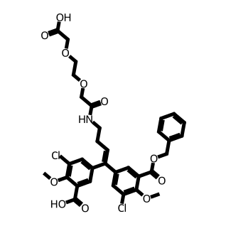 COc1c(Cl)cc(/C(=C\CCNC(=O)COCCOCC(=O)O)c2cc(Cl)c(OC)c(C(=O)OCc3ccccc3)c2)cc1C(=O)O